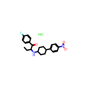 CCC(NC1CCC(c2ccc([N+](=O)[O-])cc2)CC1)C(=O)c1ccc(F)cc1.Cl